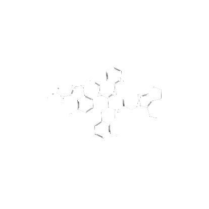 Cn1nc(NS(C)(=O)=O)c2c(Cl)ccc(-n3c(C(Cc4cc(F)cc(F)c4)NC(=O)Cn4nc5c(c4C(F)F)CCC5)nc4ncccc4c3=O)c21